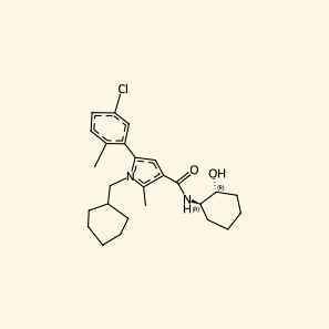 Cc1ccc(Cl)cc1-c1cc(C(=O)N[C@@H]2CCCC[C@H]2O)c(C)n1CC1CCCCC1